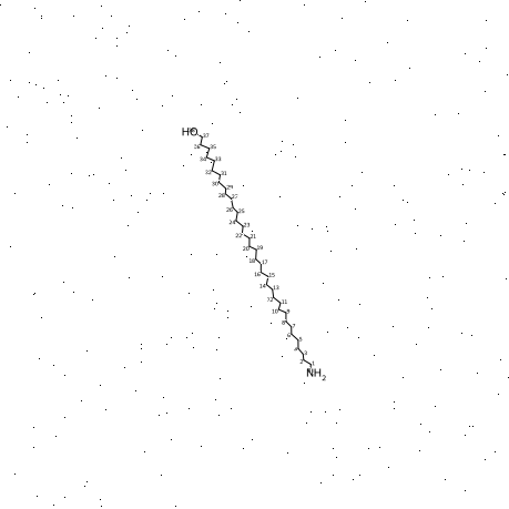 NCCCCCCCCCCCCCCCCCCCCCCCCCCCCCCCCCCCCCO